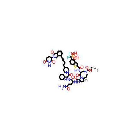 COC(=O)N1CC[C@H]2CC[C@@H](C(=O)NC(CCC(N)=O)C(=O)NC(C(=O)N3CCC(CCC#Cc4cccc5c4CN(C4CCC(=O)NC4=O)C5=O)CC3)C3CCCCC3)N2C(=O)[C@@H](NC(=O)c2cc3cc(C(F)(F)P(=O)(O)O)ccc3s2)C1